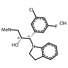 CNC[C@@H](O)[C@H](c1cc(F)cc(Cl)c1)N1CCc2ccccc21.Cl